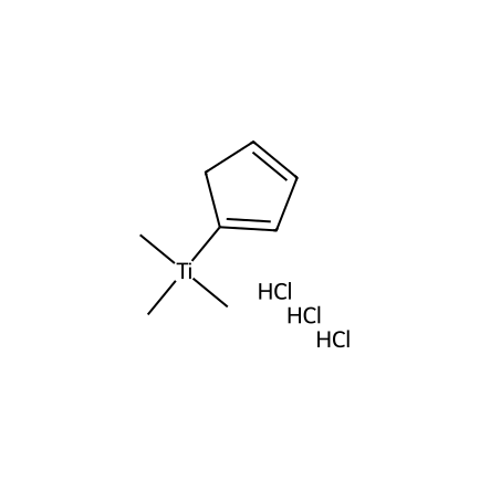 Cl.Cl.Cl.[CH3][Ti]([CH3])([CH3])[C]1=CC=CC1